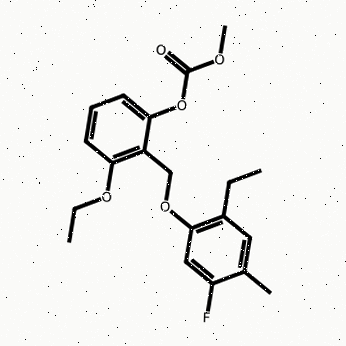 CCOc1cccc(OC(=O)OC)c1COc1cc(F)c(C)cc1CC